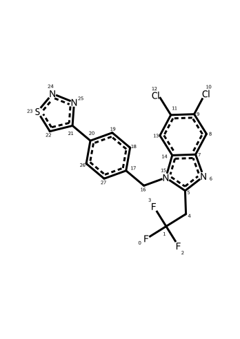 FC(F)(F)Cc1nc2cc(Cl)c(Cl)cc2n1Cc1ccc(-c2csnn2)cc1